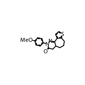 COc1ccc(N2N=C3c4ccsc4CCCC3CC2=O)cc1